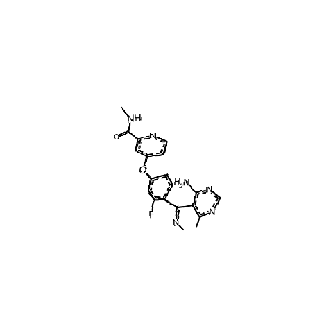 C/N=C(/c1ccc(Oc2ccnc(C(=O)NC)c2)cc1F)c1c(C)ncnc1N